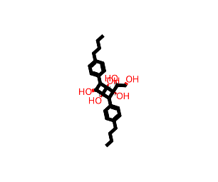 CCCCc1ccc(C2C(O)[C@@]3(O)C(c4ccc(CCCC)cc4)[C@@](O)([C@H](O)CO)[C@@]23O)cc1